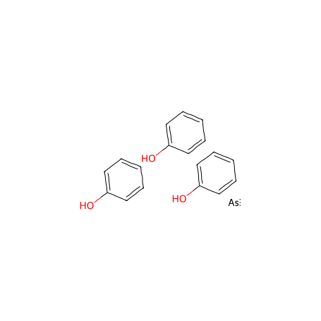 Oc1ccccc1.Oc1ccccc1.Oc1ccccc1.[As]